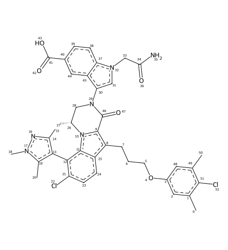 Cc1cc(OCCCc2c3n(c4c(-c5c(C)nn(C)c5C)c(Cl)ccc24)[C@H](C)CN(c2cn(CC(N)=O)c4ccc(C(=O)O)cc24)C3=O)cc(C)c1Cl